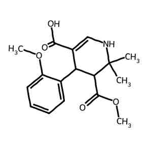 COC(=O)C1C(c2ccccc2OC)C(C(=O)O)=CNC1(C)C